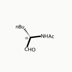 CCCC[C@@H](C=O)NC(C)=O